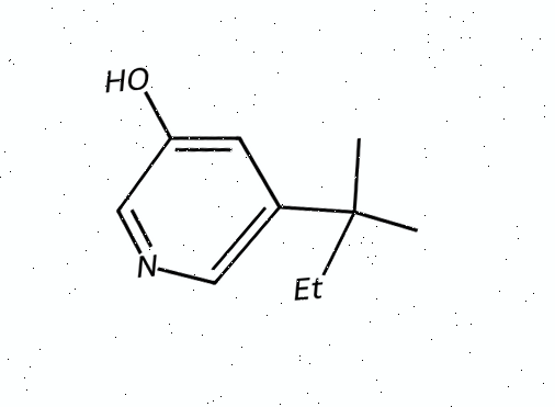 CCC(C)(C)c1cncc(O)c1